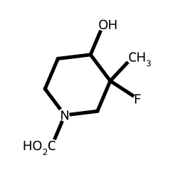 CC1(F)CN(C(=O)O)CCC1O